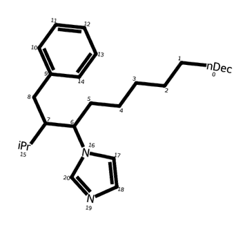 CCCCCCCCCCCCCCCC(C(Cc1ccccc1)C(C)C)n1ccnc1